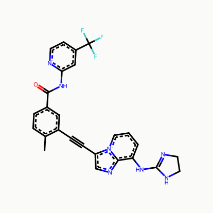 Cc1ccc(C(=O)Nc2cc(C(F)(F)F)ccn2)cc1C#Cc1cnc2c(NC3=NCCN3)cccn12